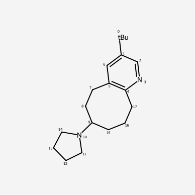 CC(C)(C)c1cnc2c(c1)CCC(N1CCCC1)CCC2